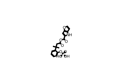 CC(C)(CC(=O)OC(=O)c1cc2occc2[nH]1)c1ccccc1OP(=O)(O)O